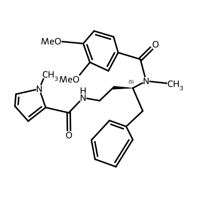 COc1ccc(C(=O)N(C)[C@H](CCNC(=O)c2cccn2C)Cc2ccccc2)cc1OC